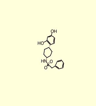 O=S(=O)(Cc1ccccc1)N[C@H]1CC[C@@H](c2ccc(O)cc2O)CC1